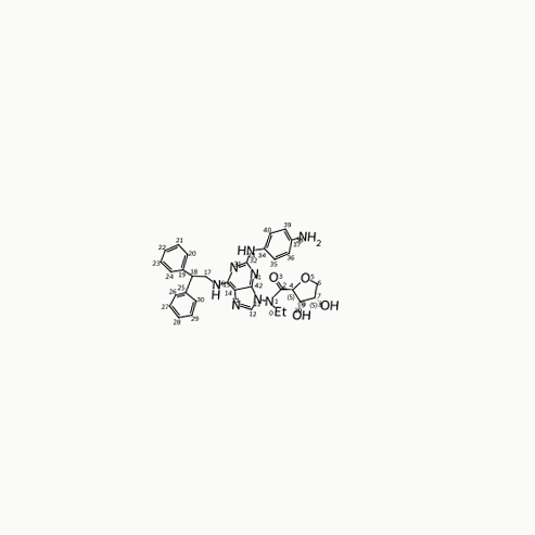 CCN(C(=O)[C@H]1OC[C@H](O)[C@@H]1O)n1cnc2c(NCC(c3ccccc3)c3ccccc3)nc(Nc3ccc(N)cc3)nc21